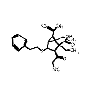 CCC1(C(=O)O)C(C(=O)CN)C(SCCc2ccccc2)C2C(C(=O)O)C21CC